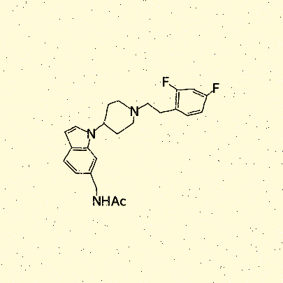 CC(=O)NCc1ccc2ccn(C3CCN(CCc4ccc(F)cc4F)CC3)c2c1